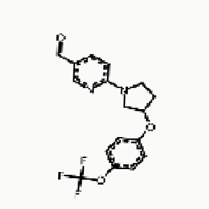 O=Cc1ccc(N2CCC(Oc3ccc(OC(F)(F)F)cc3)C2)nc1